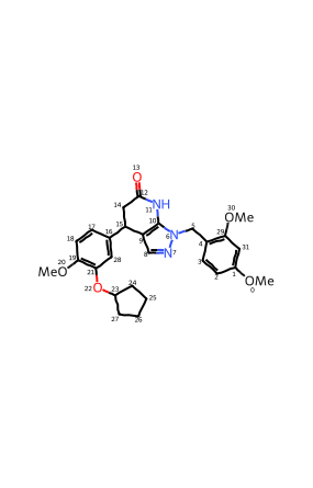 COc1ccc(Cn2ncc3c2NC(=O)CC3c2ccc(OC)c(OC3CCCC3)c2)c(OC)c1